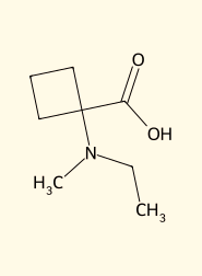 CCN(C)C1(C(=O)O)CCC1